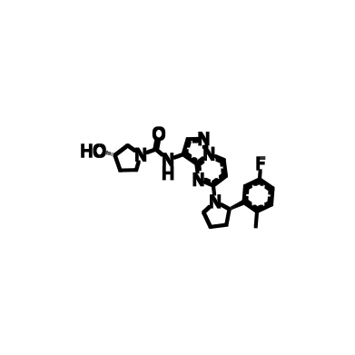 Cc1ccc(F)cc1[C@H]1CCCN1c1ccn2ncc(NC(=O)N3CC[C@H](O)C3)c2n1